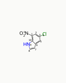 O=[N+]([O-])c1cc(Cl)cc2cc[nH]c12